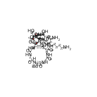 CC[C@H](C)[C@@H]1NC(=O)CNC(=O)C2Cc3c(n(CCCCCCCCN)c4cc(OC)ccc34)[S@+]([O-])CC(NC(=O)CNC1=O)C(=O)N[C@@H](CC(N)=O)C(=O)N1C[C@H](O)C[C@]1(C=O)N[C@@H]([C@@H](C)[C@@H](O)CO)C(=O)N2